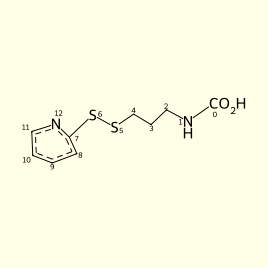 O=C(O)NCCCSSc1ccccn1